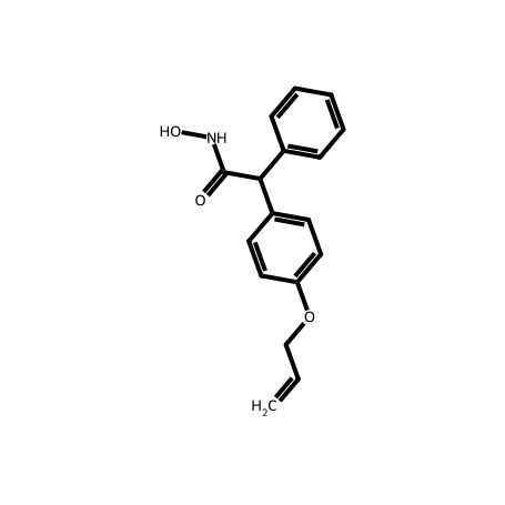 C=CCOc1ccc(C(C(=O)NO)c2ccccc2)cc1